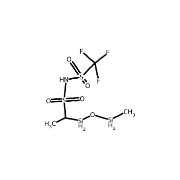 C[SiH2]O[SiH2]C(C)S(=O)(=O)NS(=O)(=O)C(F)(F)F